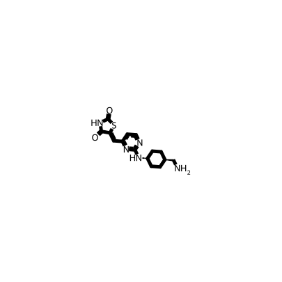 NC[C@H]1CC[C@H](Nc2nccc(/C=C3\SC(=O)NC3=O)n2)CC1